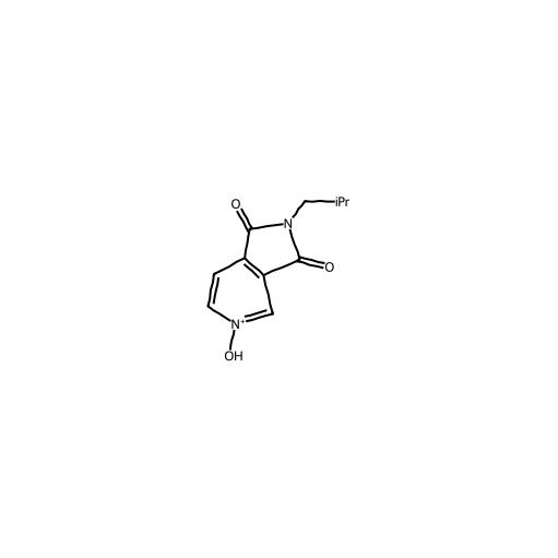 CC(C)CN1C(=O)c2cc[n+](O)cc2C1=O